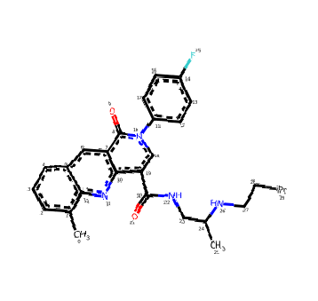 Cc1cccc2cc3c(=O)n(-c4ccc(F)cc4)cc(C(=O)NCC(C)NCCC(C)C)c3nc12